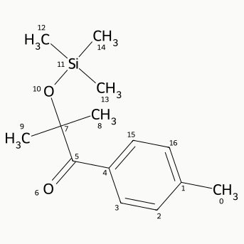 Cc1ccc(C(=O)C(C)(C)O[Si](C)(C)C)cc1